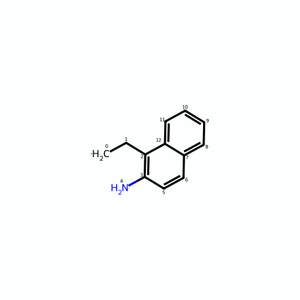 [CH2]Cc1c(N)ccc2ccccc12